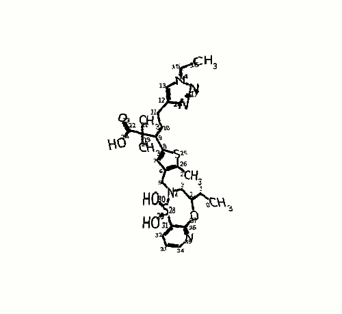 CCC1CN(Cc2cc(C(CCc3cn(CC)nn3)C(C)(C)C(=O)O)sc2C)S(O)(O)c2cccnc2O1